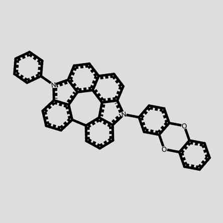 c1ccc(-n2c3cccc4c3c3c5c(ccc32)ccc2c5c3c-4cccc3n2-c2ccc3c(c2)Oc2ccccc2O3)cc1